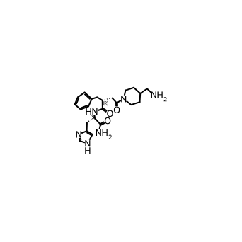 NCC1CCN(C(=O)C[C@@H](Cc2ccccc2)C(=O)N[C@@H](Cc2c[nH]cn2)C(N)=O)CC1